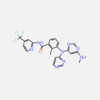 CNc1cc(N(c2ccncn2)c2cccc(C(=O)Nc3cc(C(F)(F)F)ccn3)c2C)ncn1